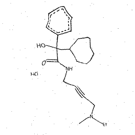 CCN(C)CC#CCNC(=O)C(O)(c1ccccc1)C1CCCCC1.Cl